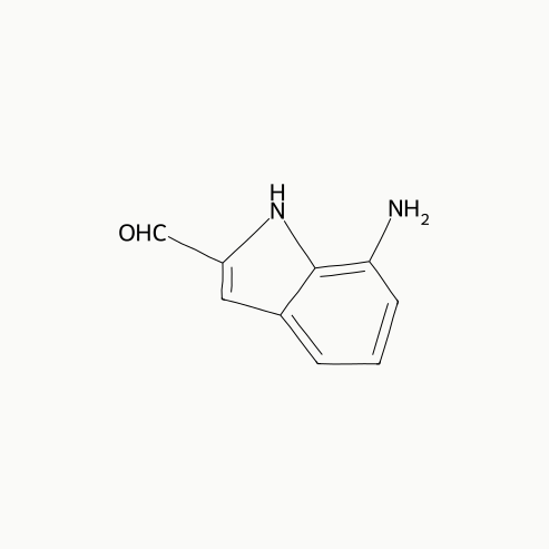 Nc1cccc2cc(C=O)[nH]c12